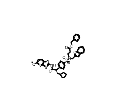 COc1ccc2nc(NC(=O)[C@H](CC3CCCC3)c3ccc(S(=O)(=O)N(CCC(=O)OCc4ccccc4)Cc4cc5ccccc5o4)cc3)sc2n1